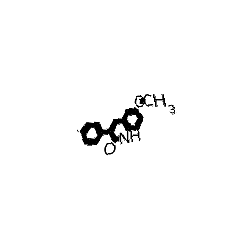 COc1ccc2[nH]c(=O)c(-c3cc[c]cc3)cc2c1